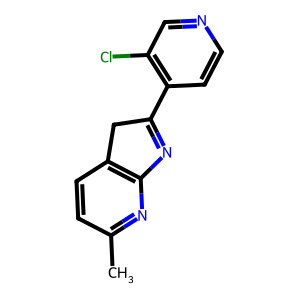 Cc1ccc2c(n1)N=C(c1ccncc1Cl)C2